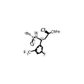 COC(=O)C[C@H](N[S@+]([O-])C(C)(C)C)c1cc(F)cc(C(F)(F)F)c1